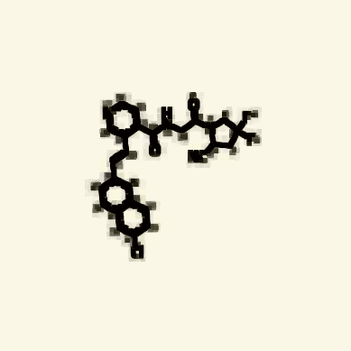 N#CC1CC(F)(F)CN1C(=O)CNC(=O)c1ccncc1C=Cc1ccc2cc(Cl)ccc2c1